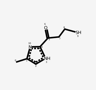 Cc1c[nH]c(C(=O)CCS)n1